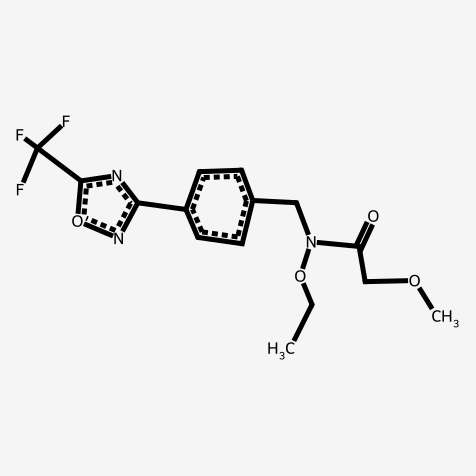 CCON(Cc1ccc(-c2noc(C(F)(F)F)n2)cc1)C(=O)COC